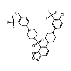 O=S(=O)(c1c(N2CCN(c3ccc(Cl)c(C(F)(F)F)c3)CC2)ccc2nonc12)N1CCN(c2ccc(Cl)c(C(F)(F)F)c2)CC1